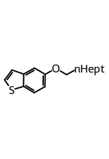 CCCCCCCCOc1ccc2sccc2c1